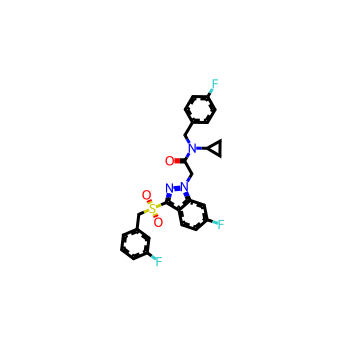 O=C(Cn1nc(S(=O)(=O)Cc2cccc(F)c2)c2ccc(F)cc21)N(Cc1ccc(F)cc1)C1CC1